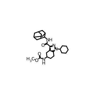 COC(=O)NC1CCc2c(c(C(=O)NC3C4CC5CC(C4)CC3C5)nn2C2CCCCC2)C1